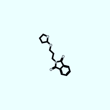 O=C1c2ccccc2C(=O)N1CCCOC1CCCO1